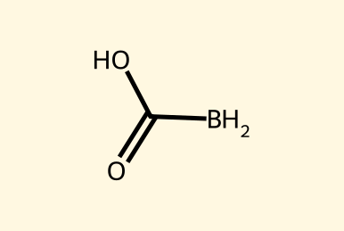 BC(=O)O